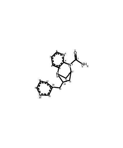 NC(=O)N1c2ncccc2N2CC1CC2Cc1cccnc1